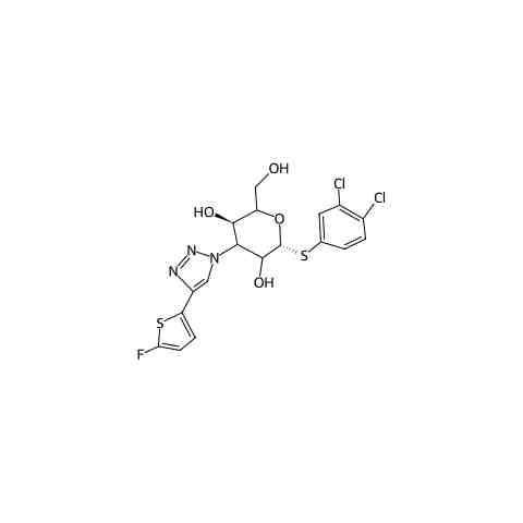 OCC1O[C@H](Sc2ccc(Cl)c(Cl)c2)C(O)C(n2cc(-c3ccc(F)s3)nn2)[C@H]1O